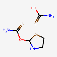 NC(=S)OC1NCCS1.NC(O)=S